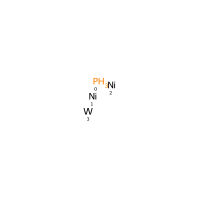 P.[Ni].[Ni].[W]